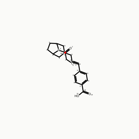 CCC(=O)N1C2CCC1CN(CC=Cc1ccc(C(=O)O)cc1)C2